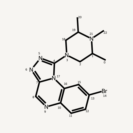 CC1CN(c2nnc3cnc4ccc(Br)cc4n23)CC(C)N1C